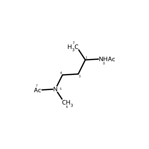 CC(=O)NC(C)CCN(C)C(C)=O